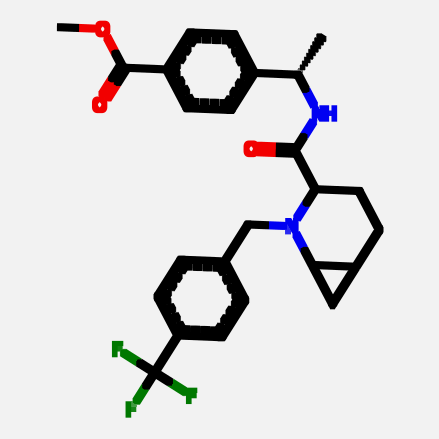 COC(=O)c1ccc([C@H](C)NC(=O)C2CCC3CC3N2Cc2ccc(C(F)(F)F)cc2)cc1